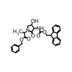 CC(C(=O)OCc1ccccc1)N1CC(O)C(NC(=O)OCC2c3ccccc3-c3ccccc32)C1=O